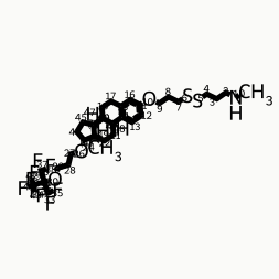 CNCCCSSCCCOc1ccc2c(c1)CC[C@@H]1[C@@H]2CC[C@]2(C)[C@@H](OCCCOC(C(F)(F)F)(C(F)(F)F)C(F)(F)F)CC[C@@H]12